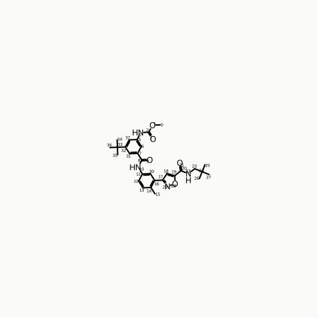 COC(=O)Nc1cc(C(=O)Nc2ccc(C)c(-c3cc(C(=O)NCC(C)(C)C)on3)c2)cc(C(C)(C)C)c1